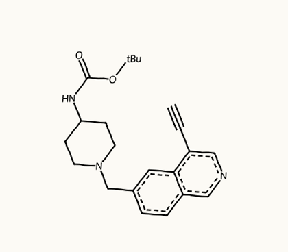 C#Cc1cncc2ccc(CN3CCC(NC(=O)OC(C)(C)C)CC3)cc12